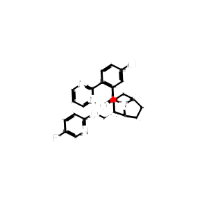 O=C(c1cc(Cl)ccc1-c1ncccn1)N1C2CCC1[C@@H](COc1ccc(F)cn1)CC2